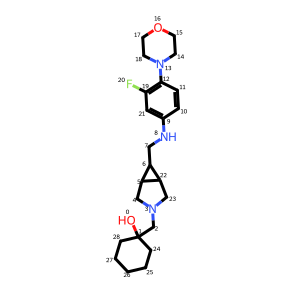 OC1(CN2CC3C(CNc4ccc(N5CCOCC5)c(F)c4)C3C2)CCCCC1